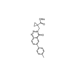 COC(=O)C1(Cn2nnc3ccc(-c4ccc(C)cc4)cc3c2=O)CC1